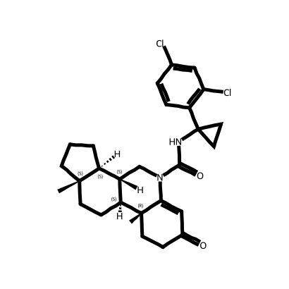 C[C@@]12CCC[C@H]1[C@@H]1CN(C(=O)NC3(c4ccc(Cl)cc4Cl)CC3)C3=CC(=O)CC[C@]3(C)[C@H]1CC2